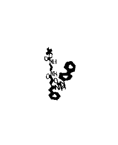 CC(C)(C)OC(=O)NCCCNC(=O)CC[C@H](Cc1ccccc1)NC(=O)Nc1ccc(-c2ccccc2)cc1